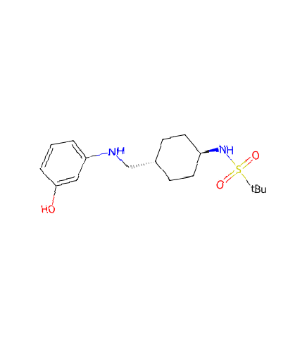 CC(C)(C)S(=O)(=O)N[C@H]1CC[C@H](CNc2cccc(O)c2)CC1